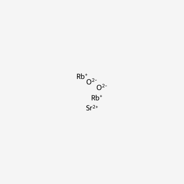 [O-2].[O-2].[Rb+].[Rb+].[Sr+2]